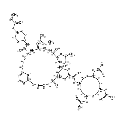 C=NC(=O)CN1CCC(NC(=O)[C@H]2CSCc3cccc(n3)CSCCC(=O)NC3(CCN(C(=O)CN4CCN(CC(=O)O)CCN(CC(=O)O)CCN(CC(=O)O)CC4)CC3)C(=O)NC(CC(C)C)C(=O)N[C@@H]([C@@H](C)CC)C(=O)N2)CC1